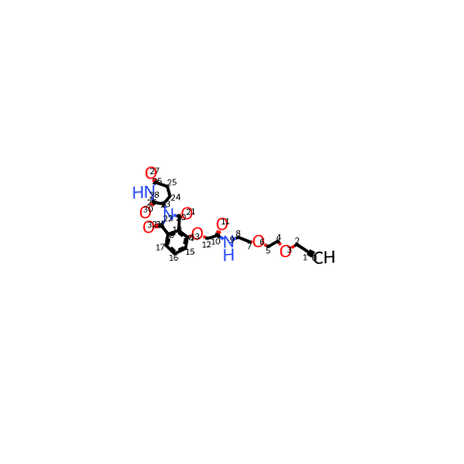 C#CCOCCOCCNC(=O)COc1cccc2c1C(=O)N(C1CCC(=O)NC1=O)C2=O